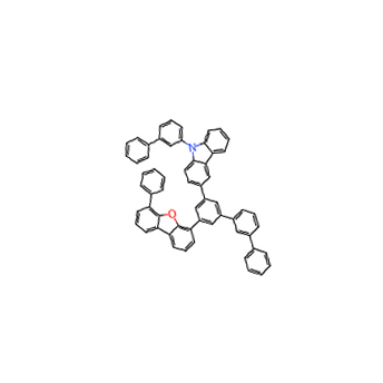 c1ccc(-c2cccc(-c3cc(-c4ccc5c(c4)c4ccccc4n5-c4cccc(-c5ccccc5)c4)cc(-c4cccc5c4oc4c(-c6ccccc6)cccc45)c3)c2)cc1